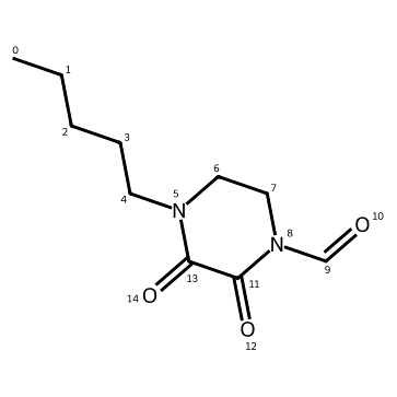 CCCCCN1CCN(C=O)C(=O)C1=O